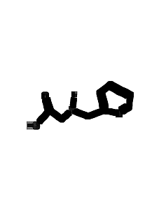 O=C(O)CN(F)Cc1ccccn1